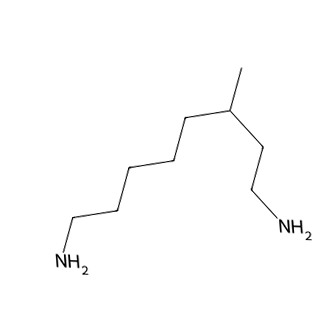 CC(CCN)CCCCCN